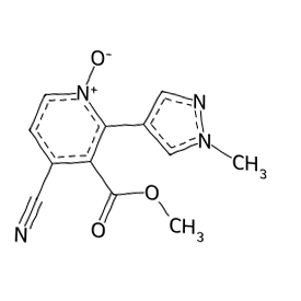 COC(=O)c1c(C#N)cc[n+]([O-])c1-c1cnn(C)c1